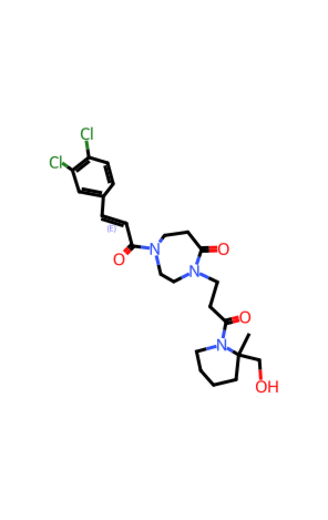 CC1(CO)CCCCN1C(=O)CCN1CCN(C(=O)/C=C/c2ccc(Cl)c(Cl)c2)CCC1=O